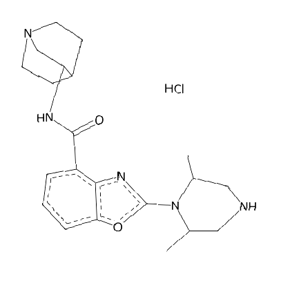 CC1CNCC(C)N1c1nc2c(C(=O)NC3CN4CCC3CC4)cccc2o1.Cl